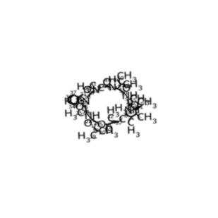 C/C=C(\C)[C@@H](C)[C@@H](C)[C@@H]1C/C=C(\C)C(=O)O[C@H](CC(C)C)C(=O)N[C@@H](C)C(=O)N(C)[C@H](Cc2ccccc2)C(=O)N(C)CC(=O)N[C@@H](C(C)CC)C(=O)N[C@H](C)C(=O)N1